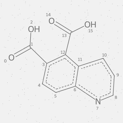 O=C(O)c1ccc2ncccc2c1C(=O)O